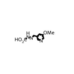 COc1cncc(/C=N/NC(=O)O)c1